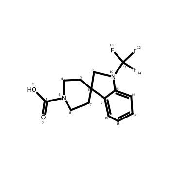 O=C(O)N1CCC2(CC1)CN(C(F)(F)F)c1ccccc12